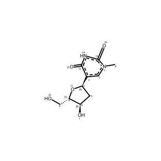 Cn1cc([C@H]2C[C@@H](O)[C@H](CO)O2)c(=O)[nH]c1=O